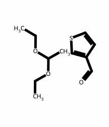 CCOC(C)OCC.O=Cc1ccsc1